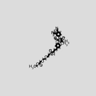 CCOC(=O)COCCOCCNC(=O)CCCc1ccc(N2C(=S=O)N(c3ccc(C#N)c(C(F)(F)F)c3)C(=O)C2(C)C)cc1